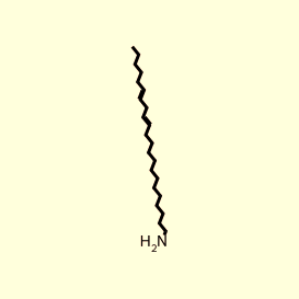 CCCCCC=CCC=CCCCCCCCCCCCCN